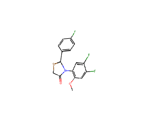 COc1cc(F)c(F)cc1N1C(=O)CSC1c1ccc(F)cc1